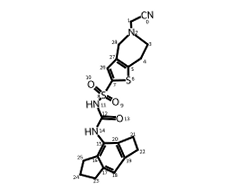 N#CCN1CCc2sc(S(=O)(=O)NC(=O)Nc3c4c(cc5c3CC5)CCC4)cc2C1